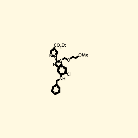 CCOC(=O)c1cnn(-c2nc3cc(NCc4ccccc4)c(Cl)cc3n2COCCOC)c1